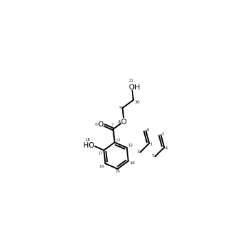 C=CC.C=CC.O=C(OCCO)c1ccccc1O